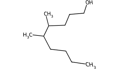 CCCCC(C)C(C)CCCO